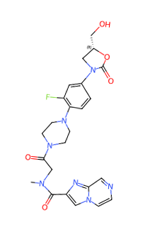 CN(CC(=O)N1CCN(c2ccc(N3C[C@H](CO)OC3=O)cc2F)CC1)C(=O)c1cn2ccncc2n1